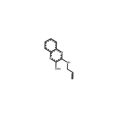 C=CCNc1nc2ccccc2nc1OC